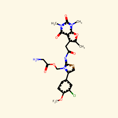 Cc1oc2c(c1CC(=O)/N=c1\scc(-c3ccc(OC(F)(F)F)c(Cl)c3)n1COC(=O)CN)c(=O)n(C)c(=O)n2C